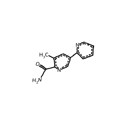 Cc1cc(-c2ccccn2)cnc1C(N)=O